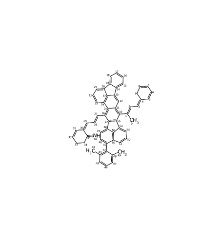 C/C(=C\C=C1\C=CC=CC1)c1c2cc3c4ccccc4c4cccc(c2c(/C=C/C=C2/C=CCCC2=N)c2c5ccc(-c6c(C)cccc6C)c6cccc(c12)c65)c43